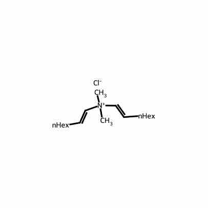 CCCCCCC=C[N+](C)(C)C=CCCCCCC.[Cl-]